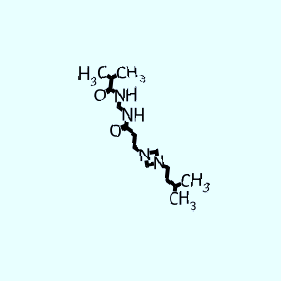 CC(C)CCN1CN(CCC(=O)NCNC(=O)C(C)C)C1